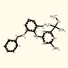 COC(C)(C)c1nc(N)nc(Nc2c(F)cccc2OCc2ccccc2)n1